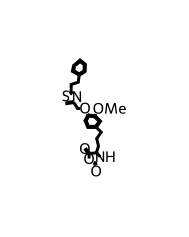 COc1cc(CCCC2NC(=O)OC2=O)ccc1OCc1csc(CCc2ccccc2)n1